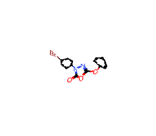 O=c1oc(Oc2ccccc2)nn1-c1ccc(Br)cc1